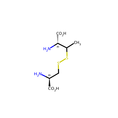 CC(SSC[C@H](N)C(=O)O)[C@H](N)C(=O)O